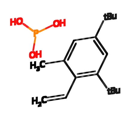 C=Cc1c(C)cc(C(C)(C)C)cc1C(C)(C)C.OP(O)O